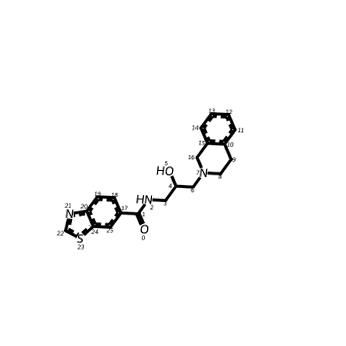 O=C(NCC(O)CN1CCc2ccccc2C1)c1ccc2ncsc2c1